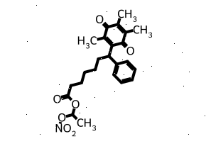 CC1=C(C)C(=O)C(C(CCCCCC(=O)OC(C)O[N+](=O)[O-])c2ccccc2)=C(C)C1=O